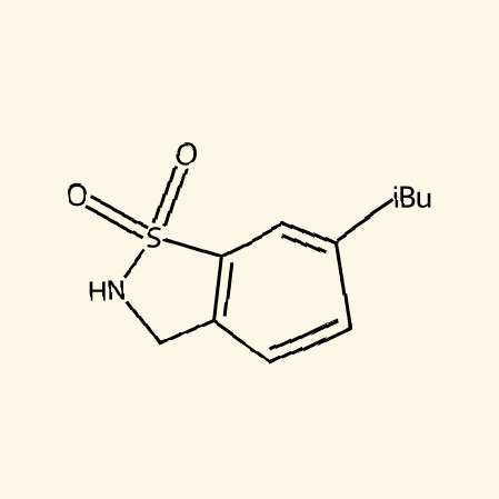 CCC(C)c1ccc2c(c1)S(=O)(=O)NC2